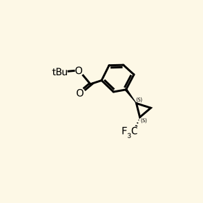 CC(C)(C)OC(=O)c1cccc([C@H]2C[C@@H]2C(F)(F)F)c1